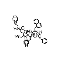 CC(C)CC(NC(=O)[C@H](Cc1cccnc1)NC(=O)[C@H](Cc1cccc2ccccc12)NC(=O)OCc1ccccc1)C(O)CC(=O)NCCN1CCOCC1